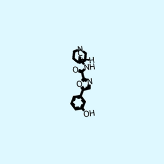 O=C(N[C@H]1CN2CCC1CC2)c1ncc(-c2cccc(O)c2)o1